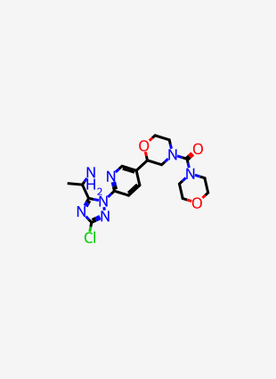 CC(N)c1nc(Cl)nn1-c1ccc(C2CN(C(=O)N3CCOCC3)CCO2)cn1